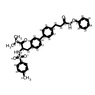 Cc1ccc(S(=O)(=O)NC(Cc2ccc(-c3ccc(CCC(=O)NOc4ccccc4)cc3)cc2)C(=O)N(C)C)cc1